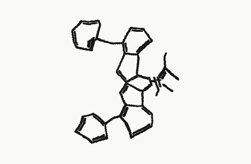 C[C](C)=[Hf]([CH3])([CH3])([CH]1C=Cc2c(-c3ccccc3)cccc21)[CH]1C=Cc2c(-c3ccccc3)cccc21